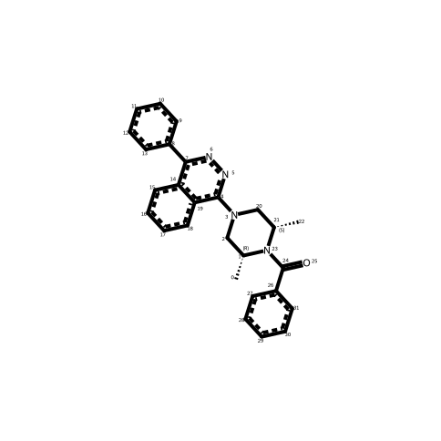 C[C@@H]1CN(c2nnc(-c3ccccc3)c3ccccc23)C[C@H](C)N1C(=O)c1ccccc1